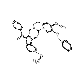 COc1ccc2c(c1)c1c(n2[S+]([O-])c2ccccc2)CN2CCc3cc(OC)c(OCc4ccccc4)cc3C2C1